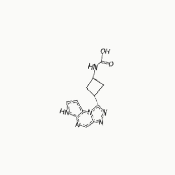 O=C(O)NC1CC(c2nnc3cnc4[nH]ccc4n23)C1